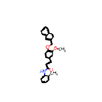 COc1cc(/C=C/C(=O)Nc2ccccc2C)ccc1OCc1ccc2ccccc2c1